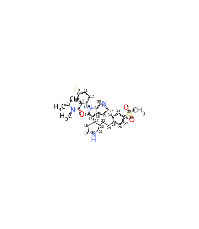 CC(C)N(C)C(=O)c1cc(F)ccc1-n1cc(C2CCNCC2CCc2ccc(S(C)(=O)=O)cc2)c2ccncc21